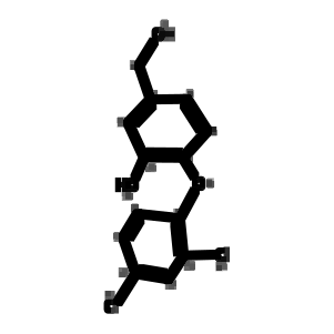 OCc1ccc(Oc2ccc(Cl)cc2Cl)c(O)c1